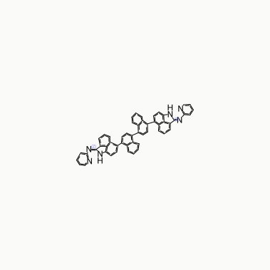 c1ccc(/N=C2\Nc3ccc(-c4ccc(-c5ccc(-c6ccc7c8c(cccc68)/C(=N/c6ccccn6)N7)c6ccccc56)c5ccccc45)c4cccc2c34)nc1